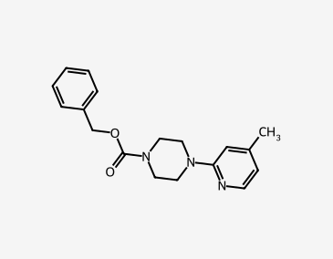 Cc1ccnc(N2CCN(C(=O)OCc3ccccc3)CC2)c1